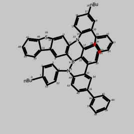 CCCCc1ccc(N2B3c4cc5c(cc4N(c4ccc(CCCC)cc4-c4ccccc4)c4cccc(c43)-c3cc(-c4ccccc4)ccc32)sc2ccccc25)cc1